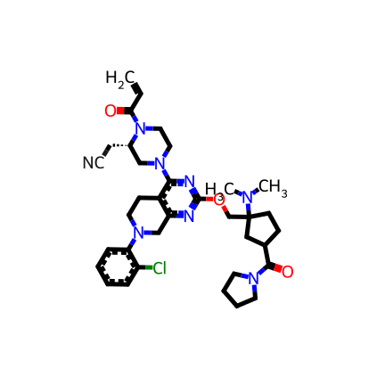 C=CC(=O)N1CCN(c2nc(OCC3(N(C)C)CCC(C(=O)N4CCCC4)C3)nc3c2CCN(c2ccccc2Cl)C3)C[C@@H]1CC#N